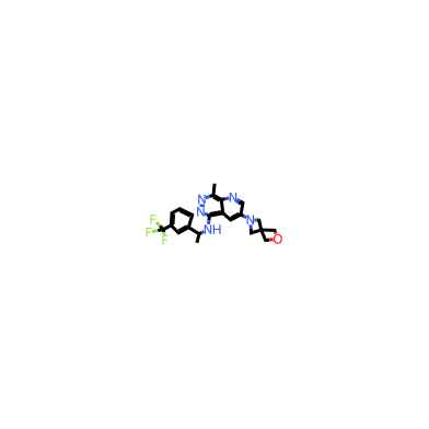 Cc1nnc(NC(C)c2cccc(C(F)(F)F)c2)c2cc(N3CC4(COC4)C3)cnc12